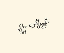 NC1CCCCC1NC(=O)Nc1ccc(CCOc2ccccc2-c2c[nH]cn2)cc1